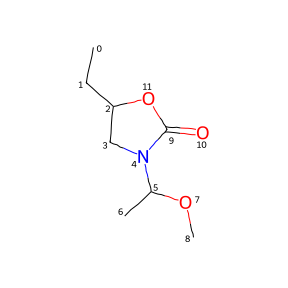 CCC1CN(C(C)OC)C(=O)O1